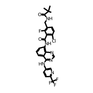 CC(C)(C)C(=O)NCc1ccc(Cl)c(C(=O)Nc2cccc3c(Nc4ccc(C(F)(F)F)nc4)ncnc23)c1F